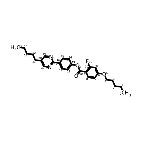 CCCCCOc1ccc(C(=O)Oc2ccc(-c3ncc(CCCCC)cn3)cc2)c(F)c1